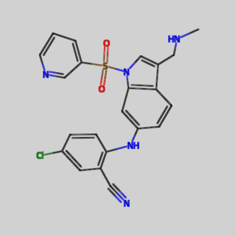 CNCc1cn(S(=O)(=O)c2cccnc2)c2cc(Nc3ccc(Cl)cc3C#N)ccc12